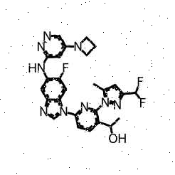 Cc1cc(C(F)F)nn1-c1nc(-n2cnc3cc(Nc4cc(N5CCC5)cnn4)c(F)cc32)ccc1C(C)O